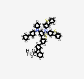 CC1(C)c2ccccc2-c2cc(-c3ccc4sc5c(N(c6ccc7c(c6)sc6ccccc67)c6ccc7sc8ccccc8c7c6)cc(N(c6ccccc6)c6ccc(-c7ccccc7)cc6)cc5c4c3)ccc21